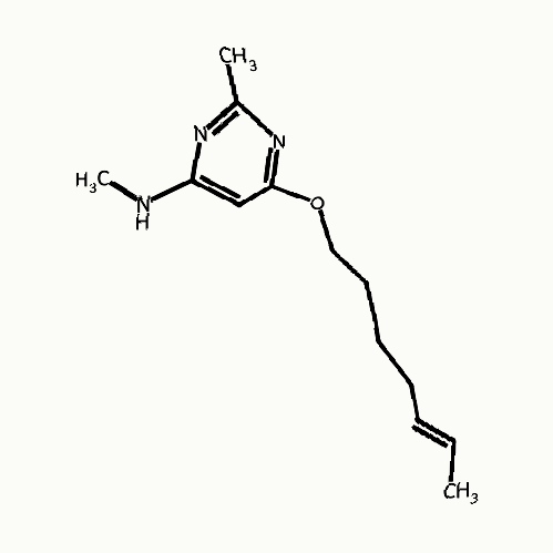 C/C=C/CCCCOc1cc(NC)nc(C)n1